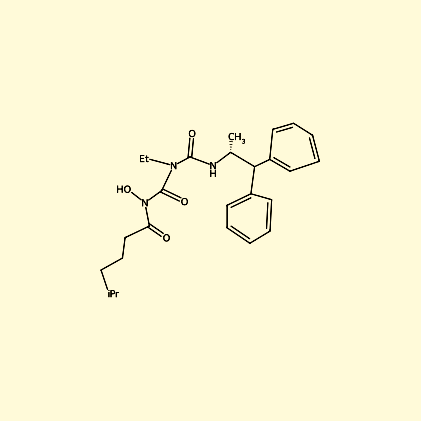 CCN(C(=O)N[C@H](C)C(c1ccccc1)c1ccccc1)C(=O)N(O)C(=O)CCCC(C)C